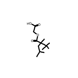 CC(C)CC(C)(C(=O)OCC(=O)O)C(C)(C)C